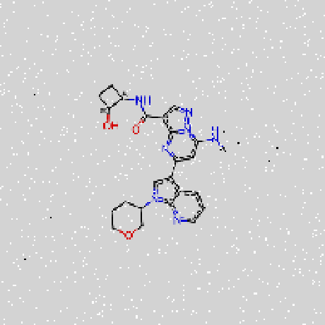 CNc1cc(-c2cn(C3CCCOC3)c3ncccc23)nc2c(C(=O)N[C@@H]3CC[C@@H]3O)cnn12